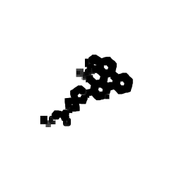 C=CC(=O)N1CC2(CCN(c3cnc4c5ccccc5c5ccc6cnn(C)c6c5c4c3C#N)C2)C1